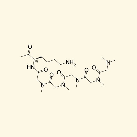 CC(=O)[C@@H](CCCCN)NC(=O)CN(C)C(=O)CN(C)C(=O)CN(C)C(=O)CN(C)C(=O)CN(C)C